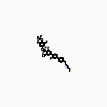 CC/C=C/CCc1ccc(-c2ccc(-c3cc(F)c(C(F)(F)Oc4cc(F)c(OC(F)(F)F)c(F)c4)c(Cl)c3)c(F)c2)cc1